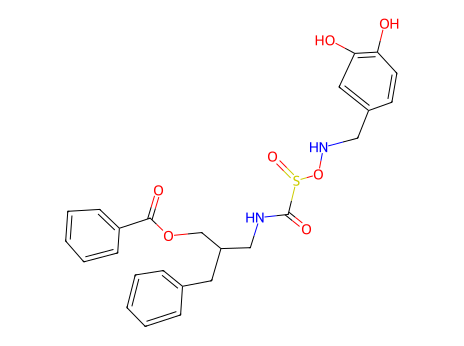 O=C(OCC(CNC(=O)S(=O)ONCc1ccc(O)c(O)c1)Cc1ccccc1)c1ccccc1